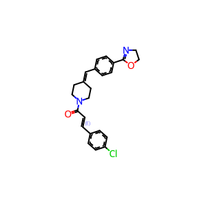 O=C(/C=C/c1ccc(Cl)cc1)N1CCC(=Cc2ccc(C3=NCCO3)cc2)CC1